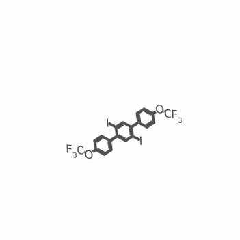 FC(F)(F)Oc1ccc(-c2cc(I)c(-c3ccc(OC(F)(F)F)cc3)cc2I)cc1